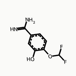 N=C(N)c1ccc(OC(F)F)c(O)c1